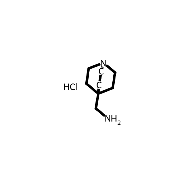 Cl.NCC12CCN(CC1)CC2